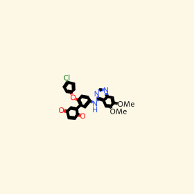 COc1cc2ncnc(Nc3ccc(Oc4ccc(Cl)cc4)c(C4=CC(=O)C=CC4=O)c3)c2cc1OC